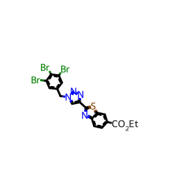 CCOC(=O)c1ccc2nc(-c3cn(Cc4cc(Br)c(Br)c(Br)c4)nn3)sc2c1